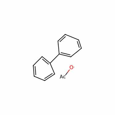 CC([O])=O.c1ccc(-c2ccccc2)cc1